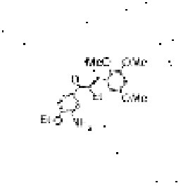 CCOc1ccc(C(=O)/C(=C/c2cc(OC)cc(OC)c2OC)CC)cc1N